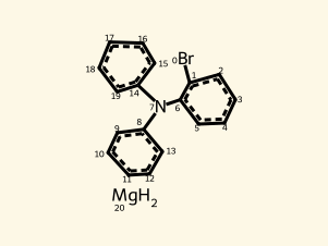 Brc1ccccc1N(c1ccccc1)c1ccccc1.[MgH2]